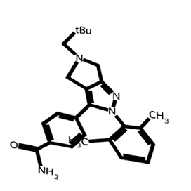 Cc1cccc(C)c1-n1nc2c(c1-c1ccc(C(N)=O)cc1)CN(CC(C)(C)C)C2